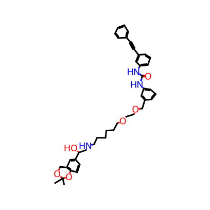 CC1(C)OCc2cc([C@@H](O)CNCCCCCCOCCOCc3cccc(NC(=O)Nc4cccc(C#Cc5ccccc5)c4)c3)ccc2O1